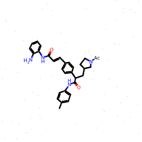 CC(=O)N1CCC(CC(C(=O)Nc2ccc(C)cc2)c2ccc(/C=C/C(=O)Nc3ccccc3N)cc2)C1